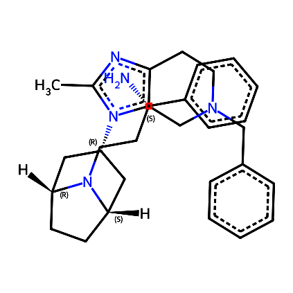 Cc1nc2c(n1[C@H]1C[C@H]3CC[C@@H](C1)N3CC[C@H](N)c1ccccc1)CN(Cc1ccccc1)CC2